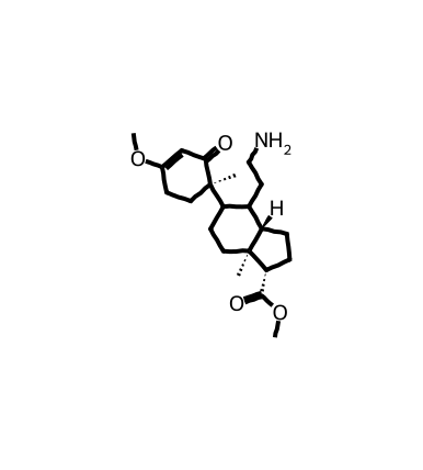 COC(=O)[C@H]1CC[C@H]2C(CCN)C([C@@]3(C)CCC(OC)=CC3=O)CC[C@]12C